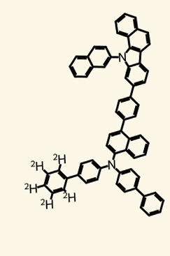 [2H]c1c([2H])c([2H])c(-c2ccc(N(c3ccc(-c4ccccc4)cc3)c3ccc(-c4ccc(-c5ccc6c7ccc8ccccc8c7n(-c7ccc8ccccc8c7)c6c5)cc4)c4ccccc34)cc2)c([2H])c1[2H]